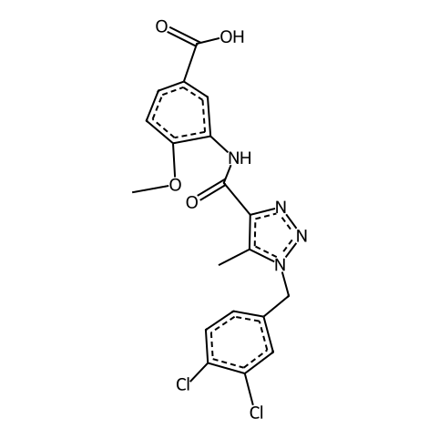 COc1ccc(C(=O)O)cc1NC(=O)c1nnn(Cc2ccc(Cl)c(Cl)c2)c1C